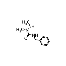 CNN(C)C(=O)NCc1ccccc1